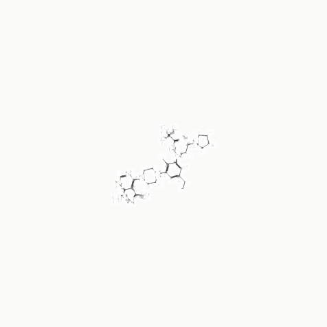 CCc1cc(N2CCN(c3ncnc4[nH]nc(Br)c34)CC2)c(C)c(N(CCN2CCCC2)OC(=O)C(F)(F)F)c1